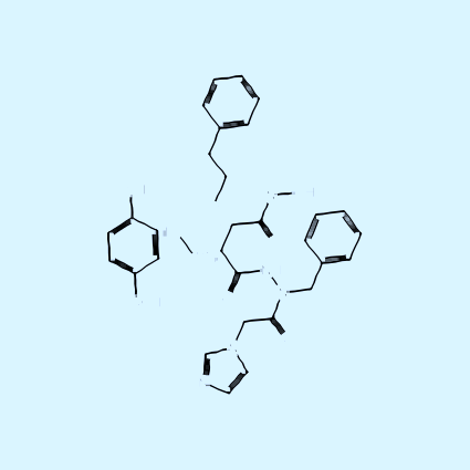 CC(C)C[C@@H](C(=O)NN(Cc1ccccc1)C(=O)Cn1ccnc1)[C@H](CCCc1ccccc1)C(=O)NO.Cc1ccc(S(=O)(=O)O)cc1